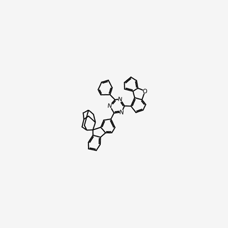 c1ccc(-c2nc(-c3ccc4c(c3)C3(c5ccccc5-4)C4CC5CC(C4)CC3C5)nc(-c3cccc4oc5ccccc5c34)n2)cc1